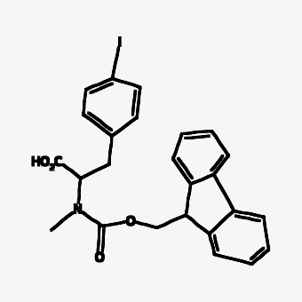 CN(C(=O)OCC1c2ccccc2-c2ccccc21)C(Cc1ccc(I)cc1)C(=O)O